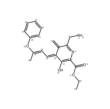 C=c1c(CN)nc(C(=O)OCC)c(O)/c1=C/C=C(\C)Oc1ccccc1